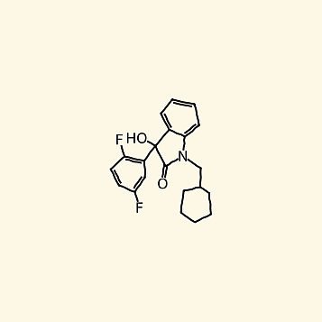 O=C1N(CC2CCCCC2)c2ccccc2C1(O)c1cc(F)ccc1F